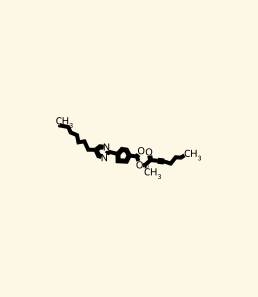 CCCCC#CC(=O)[C@H](C)OC(=O)c1ccc(-c2ncc(CCCCCCCC)cn2)cc1